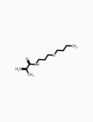 C=C(C)C(=O)NCCCOCCCC